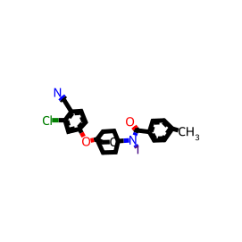 Cc1ccc(C(=O)N(I)C23CCC(Oc4ccc(C#N)c(Cl)c4)(CC2)CC3)cc1